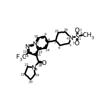 CS(=O)(=O)N1CCC(c2ccn3nc(C(F)(F)F)c(C(=O)N4CCCC4)c3c2)CC1